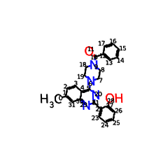 Cc1ccc2c(N3CCN(C(=O)c4ccccc4)CC3)nc(-c3ccccc3O)nc2c1